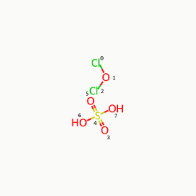 ClOCl.O=S(=O)(O)O